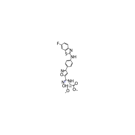 COC[C@H](N/C(=N\O)c1cc(-c2ccc(Nc3nc4ccc(F)cc4s3)cc2)no1)C(=O)OC